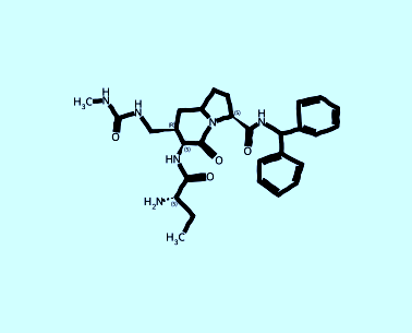 CC[C@H](N)C(=O)N[C@@H]1C(=O)N2C(CC[C@H]2C(=O)NC(c2ccccc2)c2ccccc2)C[C@@H]1CNC(=O)NC